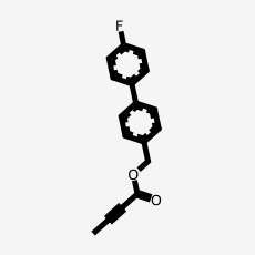 CC#CC(=O)OCc1ccc(-c2ccc(F)cc2)cc1